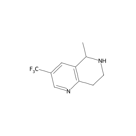 CC1NCCc2ncc(C(F)(F)F)cc21